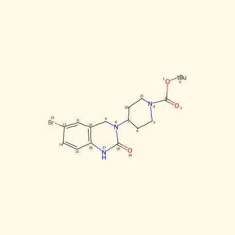 CC(C)(C)OC(=O)N1CCC(N2Cc3cc(Br)ccc3NC2=O)CC1